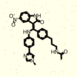 CC(=O)NCCCc1ccc(C(Nc2ccc(-c3cn(C)cn3)cc2)=C2C(=O)Nc3ccc([N+](=O)[O-])cc32)cc1